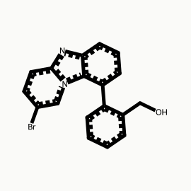 OCc1ccccc1-c1cccc2nc3ccc(Br)cn3c12